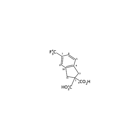 O=C(O)C1(C(=O)O)Cc2ccc(C(F)(F)F)cc2C1